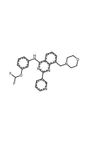 FC(F)Oc1cccc(Nc2nc(-c3cccnc3)nc3c(CN4CCOCC4)cccc23)c1